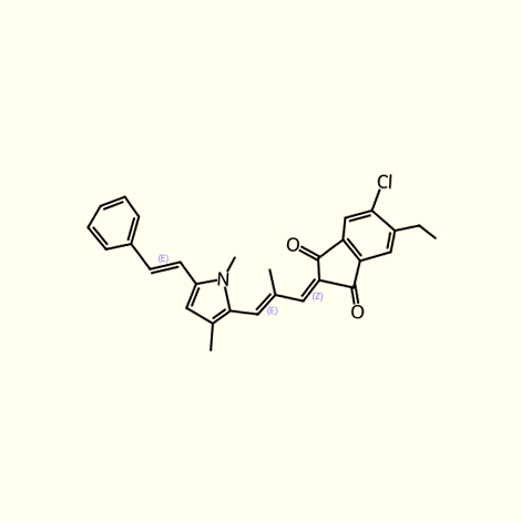 CCc1cc2c(cc1Cl)C(=O)/C(=C\C(C)=C\c1c(C)cc(/C=C/c3ccccc3)n1C)C2=O